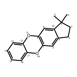 CC1(C)CCc2cc3c(cc21)Oc1ccccc1O3